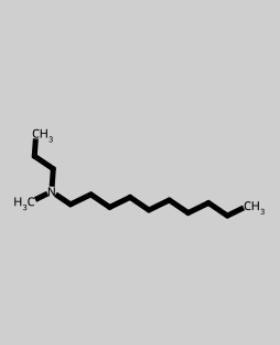 CCCCCCCCCCN(C)CCC